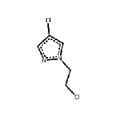 ClCCn1cc(Cl)cn1